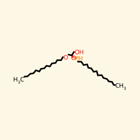 CCCCCCCCCCCCCCCCOCC(CO)OPCCCCCCCCCCCCCCCC